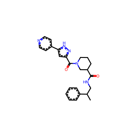 CC(CNC(=O)C1CCCN(C(=O)c2cc(-c3ccncc3)[nH]n2)C1)c1ccccc1